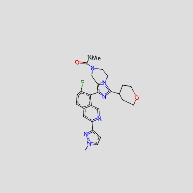 CNC(=O)N1CCn2c(C3CCOCC3)nc(-c3c(F)ccc4cc(-c5ccn(C)n5)ncc34)c2C1